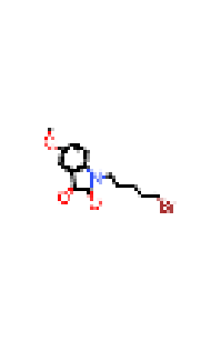 COc1ccc2c(c1)C(=O)C(=O)N2CCCCCBr